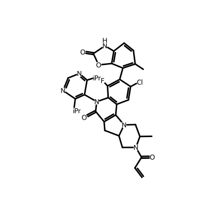 C=CC(=O)N1CC2Cc3c(c4cc(Cl)c(-c5c(C)ccc6[nH]c(=O)oc56)c(F)c4n(-c4c(C(C)C)ncnc4C(C)C)c3=O)N2CC1C